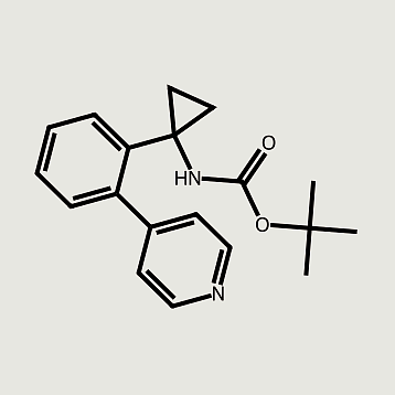 CC(C)(C)OC(=O)NC1(c2ccccc2-c2ccncc2)CC1